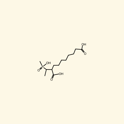 CC(C(CCCCCCCC(=O)O)C(=O)O)P(C)(=O)O